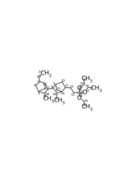 C=CC1CC2CC1C(C1C3CC(CC[Si](OCC)(OCC)OCC)C(C3)C1C)C2C